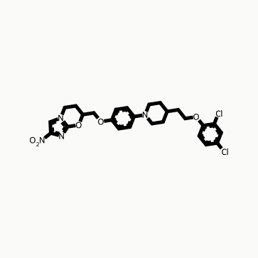 O=[N+]([O-])c1cn2c(n1)OC(COc1ccc(N3CCC(CCOc4ccc(Cl)cc4Cl)CC3)cc1)CC2